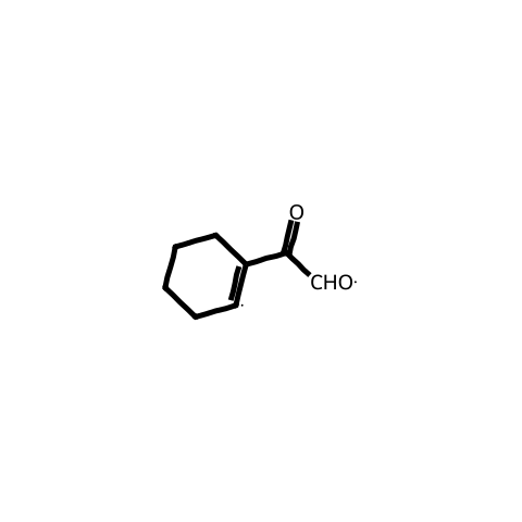 O=[C]C(=O)C1=[C]CCCC1